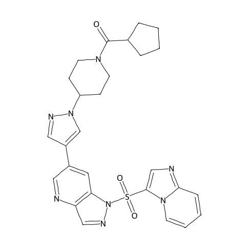 O=C(C1CCCC1)N1CCC(n2cc(-c3cnc4cnn(S(=O)(=O)c5cnc6ccccn56)c4c3)cn2)CC1